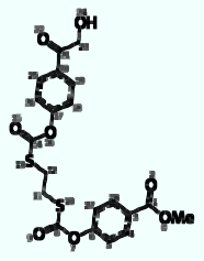 COC(=O)c1ccc(OC(=O)SCCSC(=O)Oc2ccc(C(=O)CO)cc2)cc1